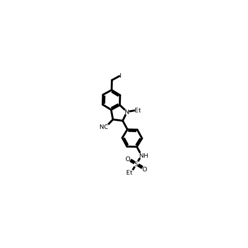 CCN1c2cc(CI)ccc2C(C#N)C1c1ccc(NS(=O)(=O)CC)cc1